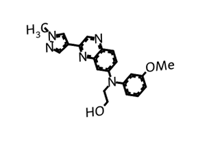 COc1cccc(N(CCO)c2ccc3ncc(-c4cnn(C)c4)nc3c2)c1